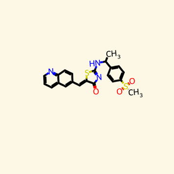 CC(NC1=NC(=O)/C(=C/c2ccc3ncccc3c2)S1)c1ccc(S(C)(=O)=O)cc1